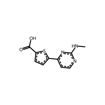 CNc1nccc(-c2ccc(C(=O)O)s2)n1